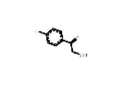 CSCC(=O)c1ccc(Cl)cc1